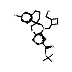 CC(C)(C)OC(=O)c1ccc2c(c1)N(CC1CCC1CO)CC1(CCCc3cc(Cl)ccc31)CO2